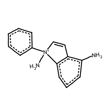 Nc1cccc2c1C=C[N+]2(N)c1ccccc1